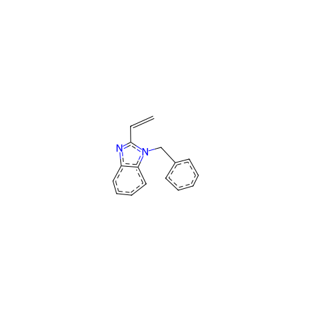 C=Cc1nc2ccccc2n1Cc1ccccc1